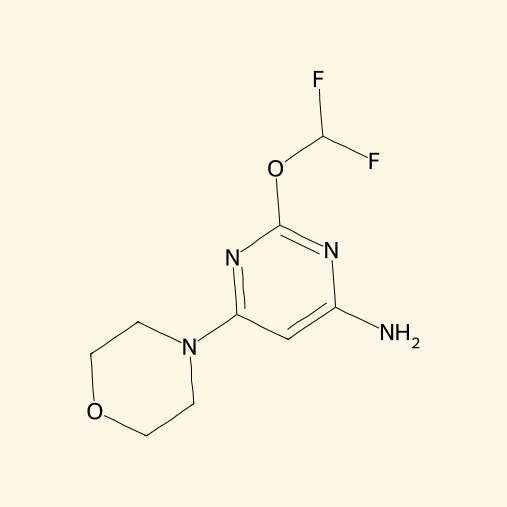 Nc1cc(N2CCOCC2)nc(OC(F)F)n1